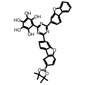 CC1(C)OB(c2ccc3oc4cc(-c5nc(-c6ccc7c(c6)oc6ccccc67)nc(-c6c(O)c(O)c(O)c(O)c6O)n5)ccc4c3c2)OC1(C)C